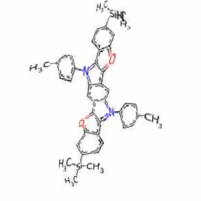 Cc1ccc(-n2c3cc4c5oc6cc([Si](C)(C)C)ccc6c5n(-c5ccc(C)cc5)c4cc3c3oc4cc([SiH](C)C)ccc4c32)cc1